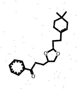 CC1(C)CC=C(CCC2OCC(CCC(=O)c3ccccc3)O2)CC1